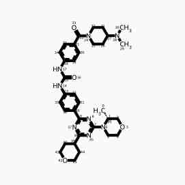 C[C@@H]1COCCN1c1nc(-c2ccc(NC(=O)Nc3ccc(C(=O)N4CCC(N(C)C)CC4)cc3)cc2)nc(C2CCOCC2)n1